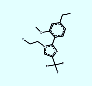 CCc1ccc(-c2nc(C(F)(F)F)cn2CCF)c(OC)c1